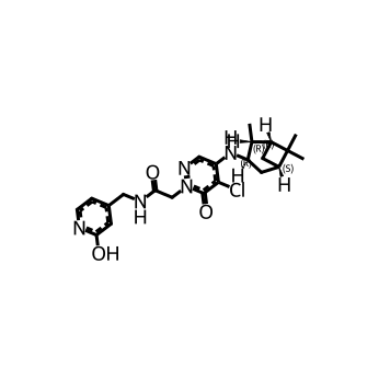 C[C@@H]1[C@H]2C[C@@H](C[C@H]1Nc1cnn(CC(=O)NCc3ccnc(O)c3)c(=O)c1Cl)C2(C)C